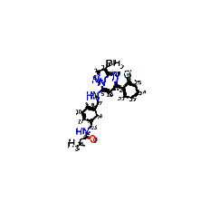 Bc1cnn2c(NCc3cccc(CNC(C)=O)c3)cc(-c3ccccc3Cl)nc12